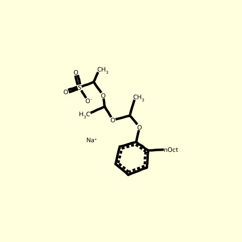 CCCCCCCCc1ccccc1OC(C)OC(C)OC(C)S(=O)(=O)[O-].[Na+]